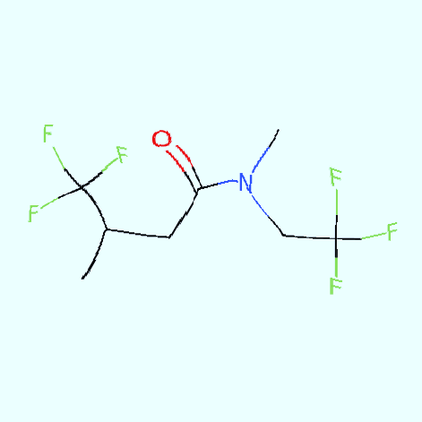 CC(CC(=O)N(C)CC(F)(F)F)C(F)(F)F